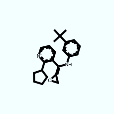 CC(C)(C)c1cccc(N/C(=C2\CO2)c2cccnc2C2CCCC2)c1